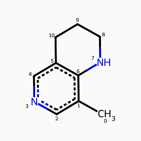 Cc1cncc2c1NCCC2